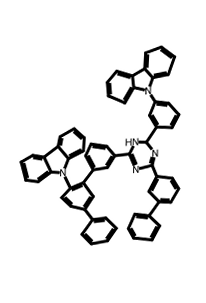 c1ccc(-c2cccc(C3=NC(c4cccc(-n5c6ccccc6c6ccccc65)c4)NC(c4cccc(-c5cc(-c6ccccc6)ccc5-n5c6ccccc6c6ccccc65)c4)=N3)c2)cc1